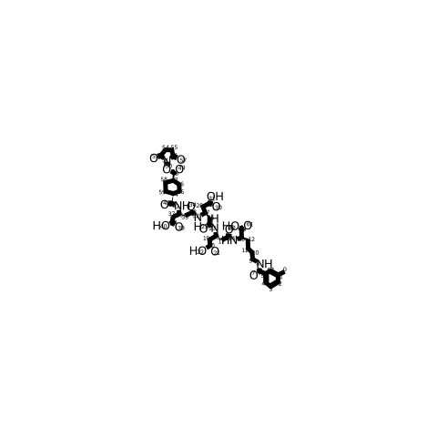 Cc1cccc(C(=O)NCCCC[C@@H](NC(=O)C[C@H](CC(=O)O)NC(=O)C[C@H](CC(=O)O)NC(=O)C[C@H](CC(=O)O)NC(=O)[C@H]2CC[C@H](C(=O)ON3C(=O)CCC3=O)CC2)C(=O)O)c1